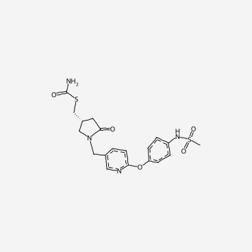 CS(=O)(=O)Nc1ccc(Oc2ccc(CN3C[C@H](CSC(N)=O)CC3=O)cn2)cc1